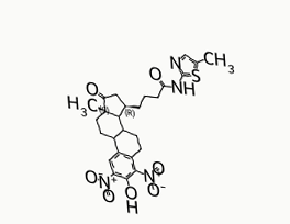 Cc1cnc(NC(=O)CCC[C@@H]2CC(=O)[C@@]3(C)CCC4c5cc([N+](=O)[O-])c(O)c([N+](=O)[O-])c5CCC4C23)s1